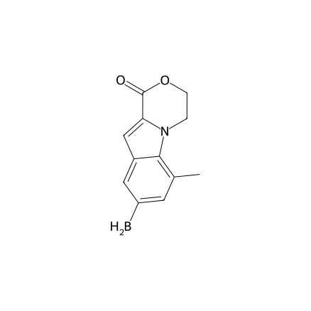 Bc1cc(C)c2c(c1)cc1n2CCOC1=O